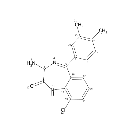 Cc1ccc(C2=NC(N)C(=O)Nc3c(Cl)cccc32)cc1C